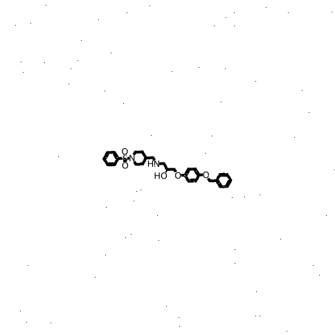 O=S(=O)(c1ccccc1)N1CCC(CNC[C@H](O)COc2ccc(OCc3ccccc3)cc2)CC1